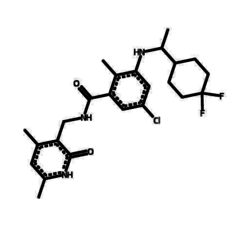 Cc1cc(C)c(CNC(=O)c2cc(Cl)cc(NC(C)C3CCC(F)(F)CC3)c2C)c(=O)[nH]1